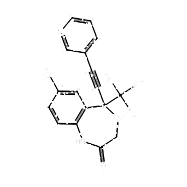 O=C1COC(C#Cc2cccnc2)(C(F)(F)F)c2cc(Cl)ccc2N1